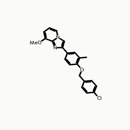 COc1cccn2cc(-c3ccc(OCc4ccc(Cl)cc4)c(C)c3)nc12